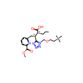 CCC[C@H](C(=O)O)[C@H](Cc1cccc(C(=O)OC)n1)c1nnnn1COCC[Si](C)(C)C